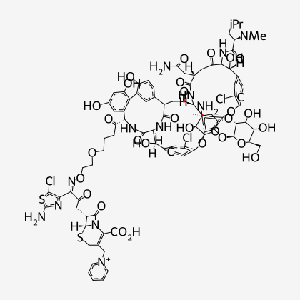 CN[C@H](CC(C)C)C(=O)NC1C(=O)C[C@@H](CC(N)=O)C(=O)N[C@H]2C(=O)CC3C(=O)N[C@H](C(=O)N[C@H](C(=O)CCCOCCO/N=C(\C(=O)C[C@@H]4C(=O)N5C(C(=O)O)=C(C[n+]6ccccc6)CS[C@H]45)c4nc(N)sc4Cl)c4cc(O)cc(O)c4-c4cc3ccc4O)[C@H](O)c3ccc(c(Cl)c3)Oc3cc2cc(c3O[C@@H]2O[C@H](CO)[C@@H](O)[C@H](O)[C@H]2O[C@H]2C[C@](C)(N)[C@H](O)[C@H](C)O2)Oc2ccc(cc2Cl)[C@H]1O